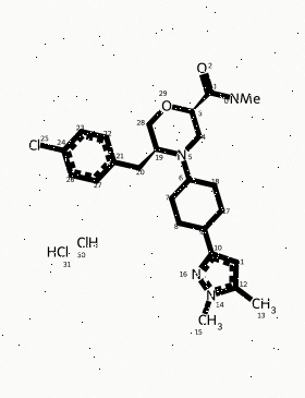 CNC(=O)[C@H]1CN(C2CCC(c3cc(C)n(C)n3)CC2)[C@@H](Cc2ccc(Cl)cc2)CO1.Cl.Cl